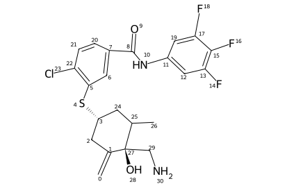 C=C1C[C@H](Sc2cc(C(=O)Nc3cc(F)c(F)c(F)c3)ccc2Cl)CC(C)[C@]1(O)CN